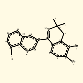 CC(C)c1ccc2c(c1Br)CC(C)(C)N=C2c1cnc2c(F)cccc2c1